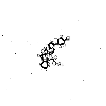 CC(C)(C)OC(=O)Nc1ccccc1C1CC1(NS(=O)(=O)c1ccc(-c2ccc(Cl)cc2)s1)C(=O)O